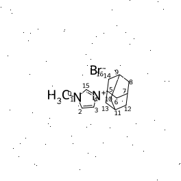 Cn1cc[n+](C23CC4CC(CC(C4)C2)C3)c1.[Br-]